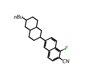 CCCCC1CCC2CC(c3ccc4c(F)c(C#N)ccc4c3)CCC2C1